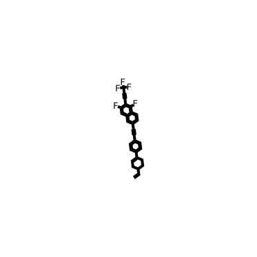 C=CC1CC=C(c2ccc(C#Cc3ccc4c(F)c(C#CC(F)(F)F)c(F)cc4c3)cc2)CC1